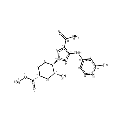 CC(C)(C)OC(=O)[C@@H]1CC[C@@H](n2cc(C(N)=O)c(Nc3ccnc(F)c3)n2)[C@H](C#N)C1